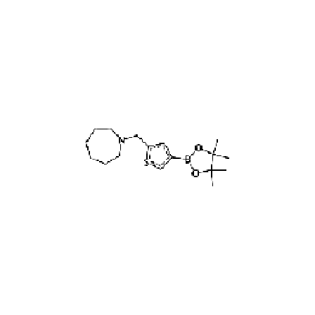 CC1(C)OB(c2csc(CN3CCCCCC3)c2)OC1(C)C